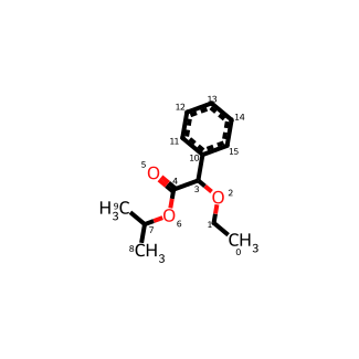 CCOC(C(=O)OC(C)C)c1ccccc1